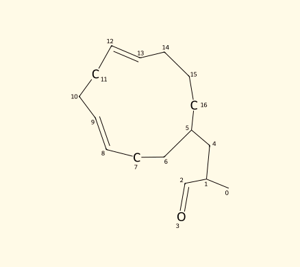 CC(C=O)CC1CC/C=C/CC/C=C/CCC1